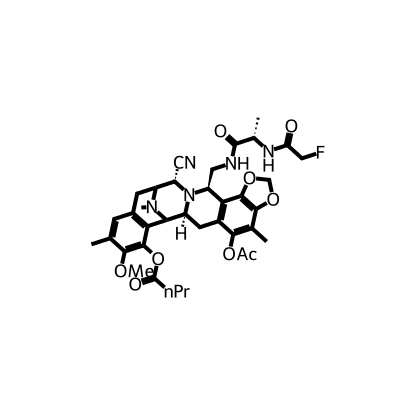 CCCC(=O)Oc1c(OC)c(C)cc2c1C1[C@@H]3Cc4c(OC(C)=O)c(C)c5c(c4[C@H](CNC(=O)[C@H](C)NC(=O)CF)N3[C@@H](C#N)C(C2)N1C)OCO5